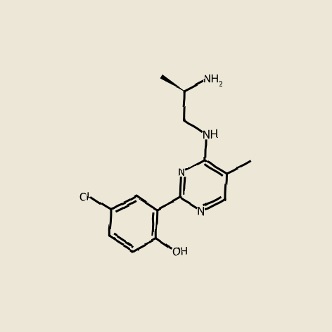 Cc1cnc(-c2cc(Cl)ccc2O)nc1NC[C@@H](C)N